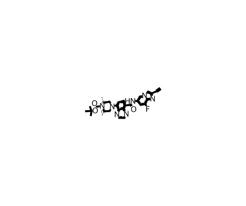 C#Cc1cn2cc(NC(=O)c3ccc(N4C[C@@H](C)N(C(=O)OC(C)(C)C)[C@@H](C)C4)c4nccnc34)cc(F)c2n1